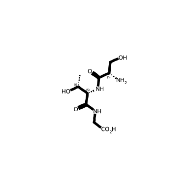 C[C@@H](O)[C@H](NC(=O)[C@@H](N)CO)C(=O)NCC(=O)O